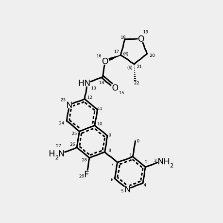 Cc1c(N)cncc1-c1cc2cc(NC(=O)O[C@H]3COC[C@@H]3C)ncc2c(N)c1F